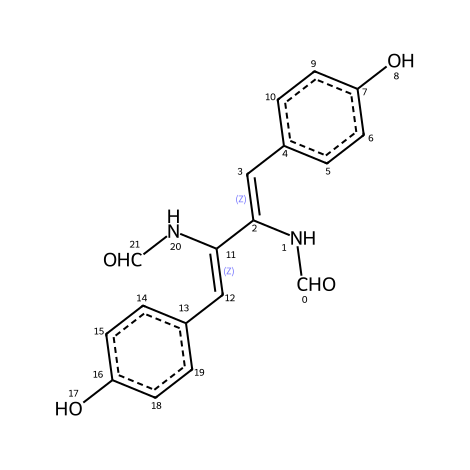 O=CNC(=C\c1ccc(O)cc1)/C(=C/c1ccc(O)cc1)NC=O